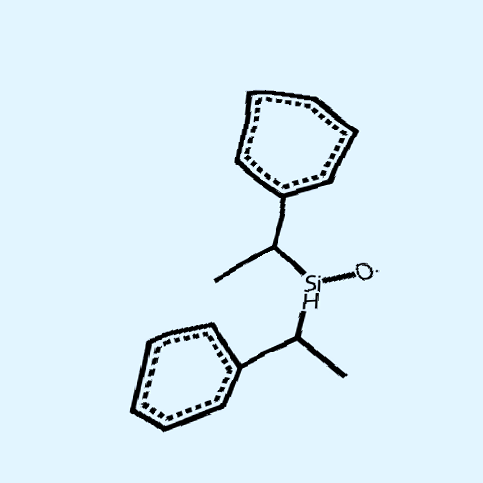 CC(c1ccccc1)[SiH]([O])C(C)c1ccccc1